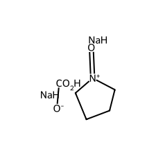 O=C([O-])O.O=[N+]1CCCC1.[NaH].[NaH]